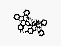 C=CC1c2ccccc2N2c3ccccc3N(c3ccccc3C(F)(F)F)C2C1(C)CCC1(C=C)c2cc(C(C)(C)C)ccc2N2c3ncccc3N(c3ccccc3C)C2C1(C)C